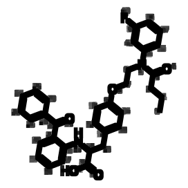 CCCC(=O)N(CCOc1ccc(CC(Nc2ccccc2C(=O)c2ccccc2)C(=O)O)cc1)c1cccc(F)c1